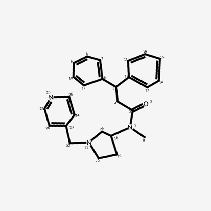 CN(C(=O)CC(c1ccccc1)c1ccccc1)C1CCN(Cc2ccncc2)C1